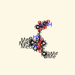 CC[C@H](C(=O)N1CCCC[C@H]1C(=O)O[C@H](CCc1ccc(OC)c(OC)c1)c1ccccc1OCC(=O)NCCCCOc1cccc2c1C(=O)N(C1CCC(=O)NC1=O)C2=O)c1cc(OC)c(OC)c(OC)c1